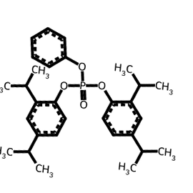 CC(C)c1ccc(OP(=O)(Oc2ccccc2)Oc2ccc(C(C)C)cc2C(C)C)c(C(C)C)c1